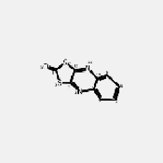 O=c1sc2nc3ccccc3nc2s1